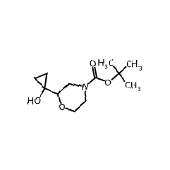 CC(C)(C)OC(=O)N1CCOC(C2(O)CC2)C1